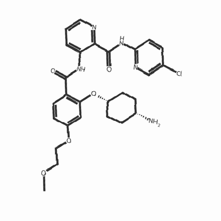 COCCOc1ccc(C(=O)Nc2cccnc2C(=O)Nc2ccc(Cl)cn2)c(O[C@H]2CC[C@@H](N)CC2)c1